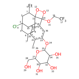 CCC1CC2(Cl)CC(C)CC(C2)C12OOC2(OCC(F)(F)F)c1ccc(C)c(OC2OC(CO)C(O)C(O)C2O)c1